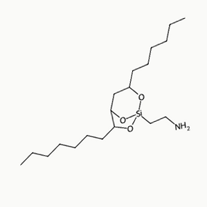 CCCCCCCC1O[Si]2(CCN)OC(CCCCCC)CC1O2